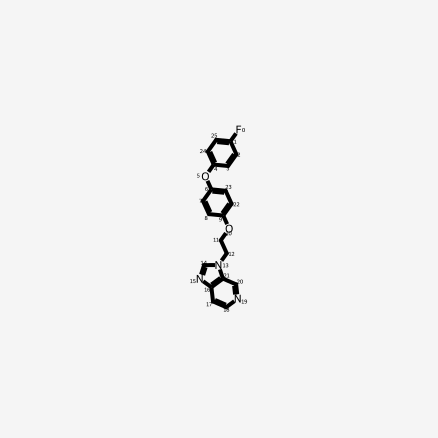 Fc1ccc(Oc2ccc(OCCn3cnc4ccncc43)cc2)cc1